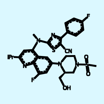 CC(C)c1cc(N(C)c2nc(-c3ccc(F)cc3)c(C#N)s2)c2cc(N3CCN(S(C)(=O)=O)C[C@H]3CO)cc(F)c2n1